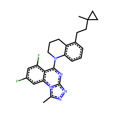 Cc1nnc2nc(N3CCCc4c(CCC5(C)CC5)cccc43)c3c(F)cc(F)cc3n12